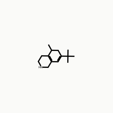 CC1CC(C(C)(C)C)=CC2=C1CCNC2